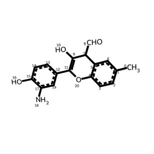 Cc1ccc2c(c1)C(C=O)C(O)=C(c1ccc(O)c(N)c1)O2